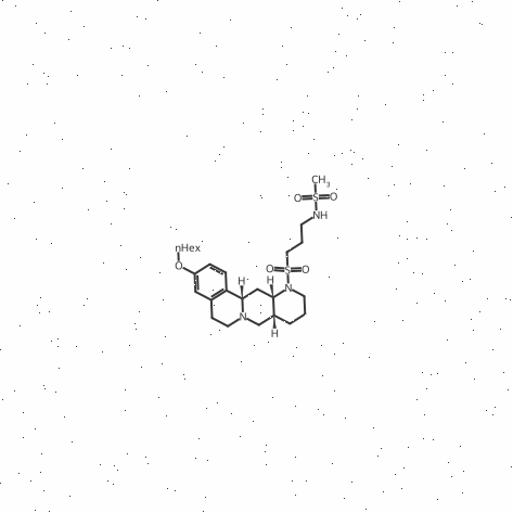 CCCCCCOc1ccc2c(c1)CCN1C[C@H]3CCCN(S(=O)(=O)CCCNS(C)(=O)=O)[C@H]3C[C@@H]21